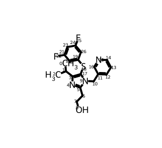 CC(C)c1nc(CCO)n(Cc2cccnc2)c1Sc1cc(F)cc(F)c1